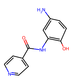 Nc1ccc(O)c(NC(=O)c2ccncc2)c1